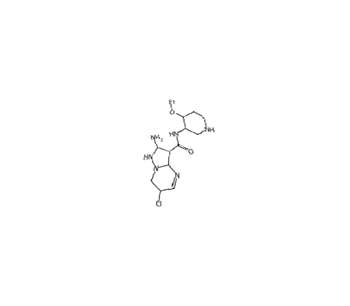 CCOC1CCNCC1NC(=O)C1C(N)NN2CC(Cl)C=NC12